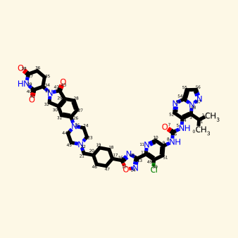 CC(C)c1c(NC(=O)Nc2cnc(-c3noc(C4CCC(CN5CCN(c6ccc7c(c6)CN(C6CCC(=O)NC6=O)C7=O)CC5)CC4)n3)c(Cl)c2)cnc2ccnn12